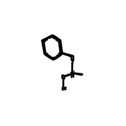 CCO[SiH](C)Oc1ccccc1